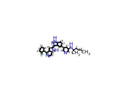 C=C(CCCC)Nc1cncc(-c2ccc3[nH]nc(-c4cc5c(-c6ccccc6F)nccc5[nH]4)c3c2)c1